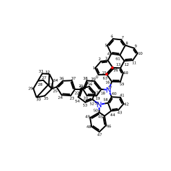 c1ccc(-c2cccc3cccc(-c4ccc(N(c5ccc(-c6ccc(C78CC9CC(CC(C9)C7)C8)cc6)cc5)c5cccc6c7ccccc7n(-c7ccccc7)c56)cc4)c23)cc1